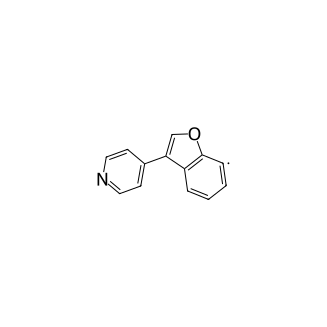 [c]1cccc2c(-c3ccncc3)coc12